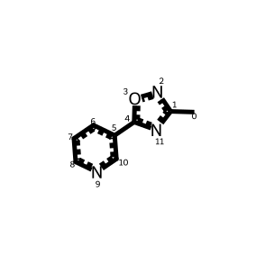 Cc1noc(-c2cccnc2)n1